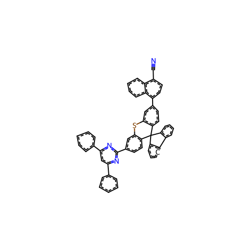 N#Cc1ccc(-c2ccc3c(c2)Sc2cc(-c4nc(-c5ccccc5)cc(-c5ccccc5)n4)ccc2C32c3ccccc3-c3ccccc32)c2ccccc12